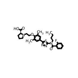 CCCCN(C(=O)c1ccccc1F)c1nnc(-c2cc(C)c(OCCN3CCC[C@H]3C(=O)O)c(C)c2)s1